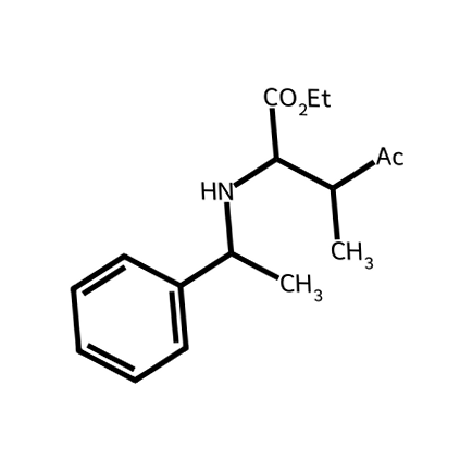 CCOC(=O)C(NC(C)c1ccccc1)C(C)C(C)=O